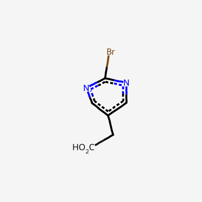 O=C(O)Cc1cnc(Br)nc1